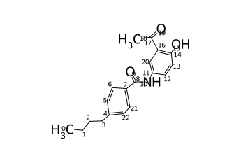 CCCCc1ccc(C(=O)Nc2ccc(O)c(C(C)=O)c2)cc1